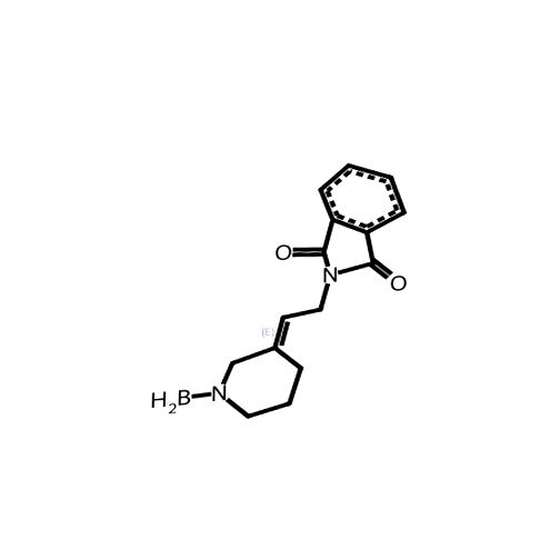 BN1CCC/C(=C\CN2C(=O)c3ccccc3C2=O)C1